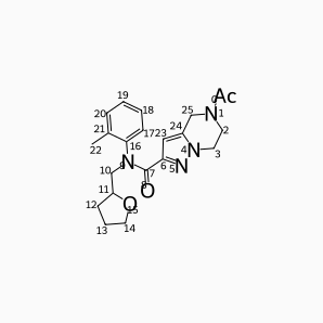 CC(=O)N1CCn2nc(C(=O)N(CC3CCCO3)c3ccccc3C)cc2C1